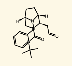 CC(C)(C)OC(=O)N1C[C@@H]2CC[C@H]([C@H]1CC=O)N2Cc1ccccc1